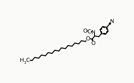 CCCCCCCCCCCCCCCCCCOC(=O)C(Cc1ccc(C#N)cc1)N=C=O